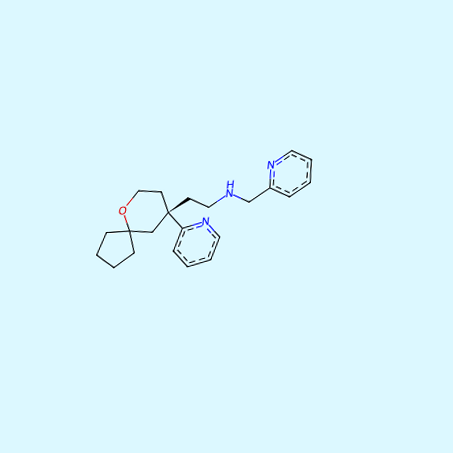 c1ccc(CNCC[C@]2(c3ccccn3)CCOC3(CCCC3)C2)nc1